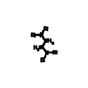 CCN(CC)[SiH2][SiH2]N(CC)CC